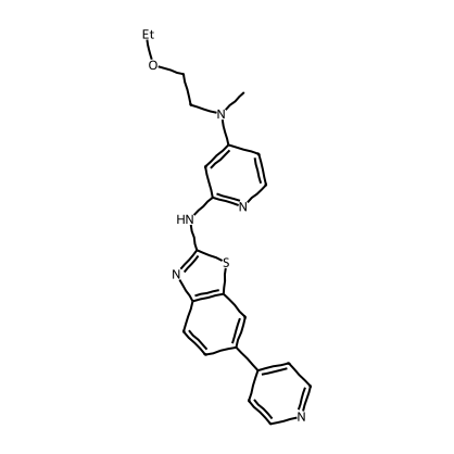 CCOCCN(C)c1ccnc(Nc2nc3ccc(-c4ccncc4)cc3s2)c1